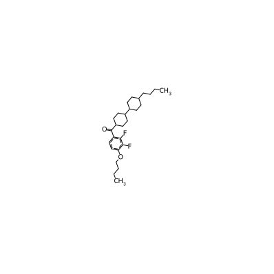 CCCCOc1ccc(C(=O)C2CCC(C3CCC(CCCC)CC3)CC2)c(F)c1F